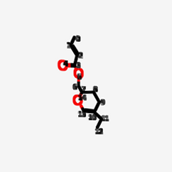 CC=CC(=O)OCC1CCC(CC)=CO1